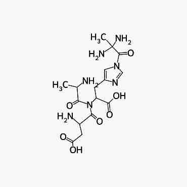 CC(N)C(=O)N(C(=O)C(N)CC(=O)O)C(Cc1cn(C(=O)C(C)(N)N)cn1)C(=O)O